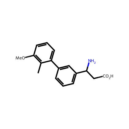 COc1cccc(-c2cccc(C(N)CC(=O)O)c2)c1C